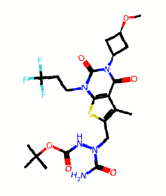 CO[C@H]1C[C@@H](n2c(=O)c3c(C)c(CN(NC(=O)OC(C)(C)C)C(N)=O)sc3n(CCC(F)(F)F)c2=O)C1